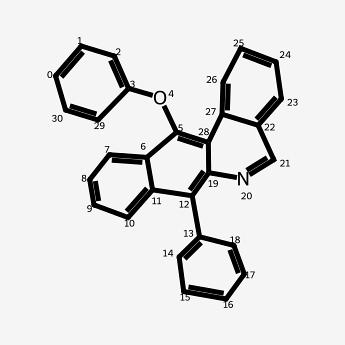 c1ccc(Oc2c3ccccc3c(-c3ccccc3)c3ncc4ccccc4c23)cc1